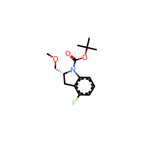 COC[C@H]1Cc2c(F)cccc2N1C(=O)OC(C)(C)C